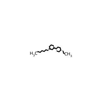 CCCCCCC[C@@H]1CCC[C@@H]([C@H]2CC[C@@H](CCC)CC2)C1